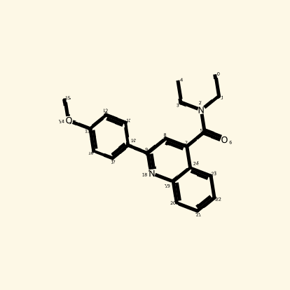 CCN(CC)C(=O)c1cc(-c2ccc(OC)cc2)nc2ccccc12